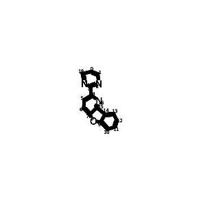 c1cnc(-c2ccc3oc4ccccc4c3n2)nc1